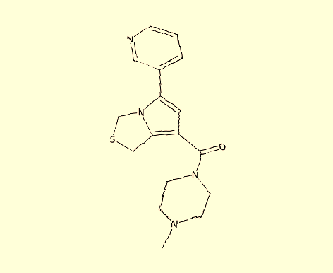 CN1CCN(C(=O)c2cc(-c3cccnc3)n3c2CSC3)CC1